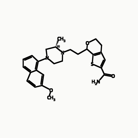 COc1ccc2cccc(N3CCN(CCC4OCCc5cc(C(N)=O)sc54)[C@@H](C)C3)c2c1